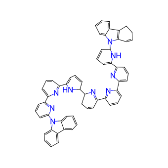 C1=CC(C2CC=CC(c3cccc(-c4cccc(C5=CC=CC(n6c7c(c8ccccc86)CCC=C7)N5)n4)n3)=N2)NC(c2cccc(-c3cccc(-n4c5ccccc5c5ccccc54)n3)n2)=C1